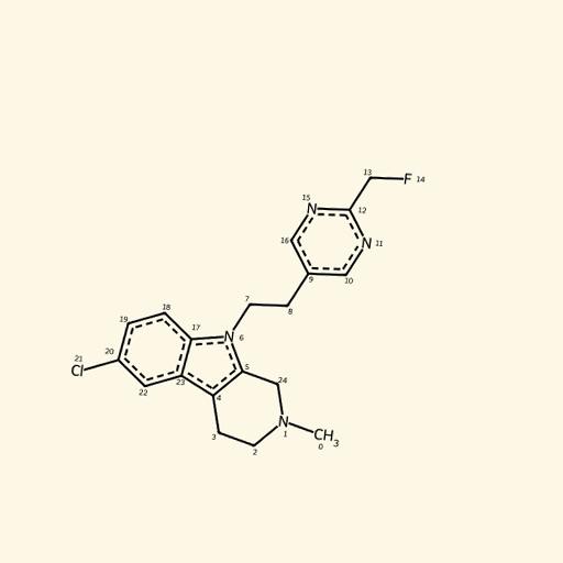 CN1CCc2c(n(CCc3cnc(CF)nc3)c3ccc(Cl)cc23)C1